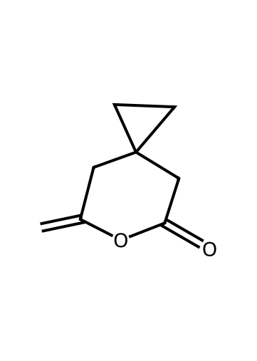 C=C1CC2(CC2)CC(=O)O1